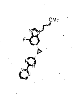 COCCCn1cnc2c(F)cc([C@@H]3C[C@@H]3c3cnc(-c4ncccn4)nc3)cc21